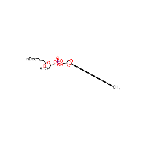 CC#CC#CC#CC#CC#CC#CC#CC1OCC(COP(=O)(O)OC[C@@H](COC(C)=O)OC(=O)CCCCCCCCCCCCC)O1